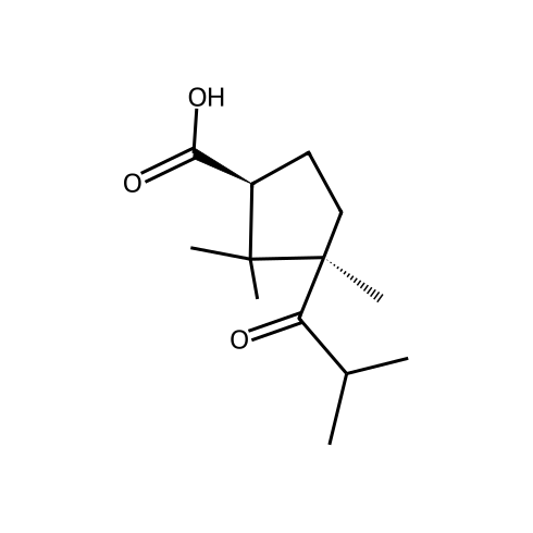 CC(C)C(=O)[C@]1(C)CC[C@H](C(=O)O)C1(C)C